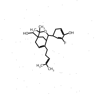 CC(C)=CCCC1=CCC2(CO)CC1C(C1C=C(F)C(O)=CC1)OC2(C)C